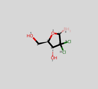 B[C@@H]1O[C@H](CO)[C@@H](O)C1(Cl)Cl